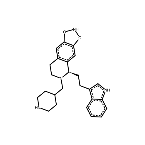 c1ccc2c(CC[C@@H]3c4cc5c(cc4CCN3CC3CCNCC3)ONO5)c[nH]c2c1